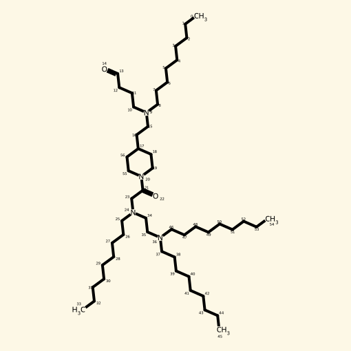 CCCCCCCCCN(CCCC=O)CCC1CCN(C(=O)CN(CCCCCCCCC)CCN(CCCCCCCCC)CCCCCCCCC)CC1